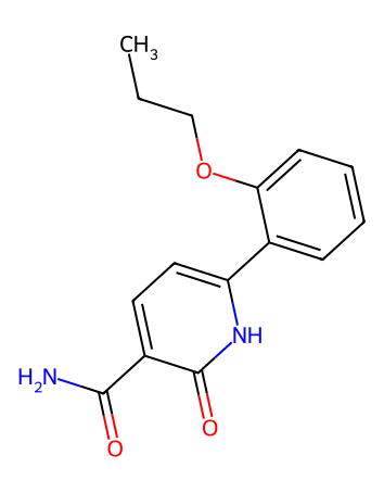 CCCOc1ccccc1-c1ccc(C(N)=O)c(=O)[nH]1